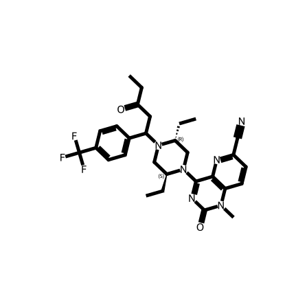 CCC(=O)CC(c1ccc(C(F)(F)F)cc1)N1C[C@H](CC)N(c2nc(=O)n(C)c3ccc(C#N)nc23)C[C@H]1CC